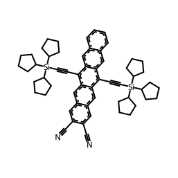 N#Cc1cc2cc3c(C#C[Si](C4CCCC4)(C4CCCC4)C4CCCC4)c4cc5ccccc5cc4c(C#C[Si](C4CCCC4)(C4CCCC4)C4CCCC4)c3cc2cc1C#N